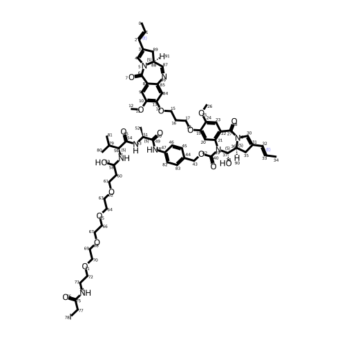 C/C=C/C1=CN2C(=O)c3cc(OC)c(OCCCOc4cc5c(cc4OC)C(=O)N4C=C(/C=C/C)C[C@H]4[C@H](O)N5C(=O)OCc4ccc(NC(=O)[C@H](C)NC(=O)[C@@H](NC(O)CCOCCOCCOCCOCCNC(=O)CI)C(C)C)cc4)cc3N=C[C@@H]2C1